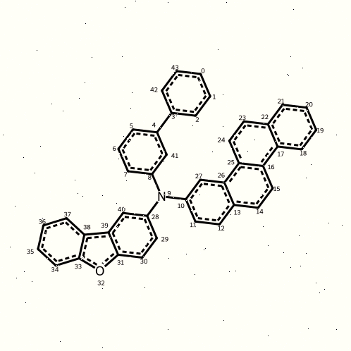 c1ccc(-c2cccc(N(c3ccc4ccc5c6ccccc6ccc5c4c3)c3ccc4oc5ccccc5c4c3)c2)cc1